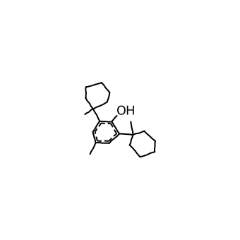 Cc1cc(C2(C)CCCCC2)c(O)c(C2(C)CCCCC2)c1